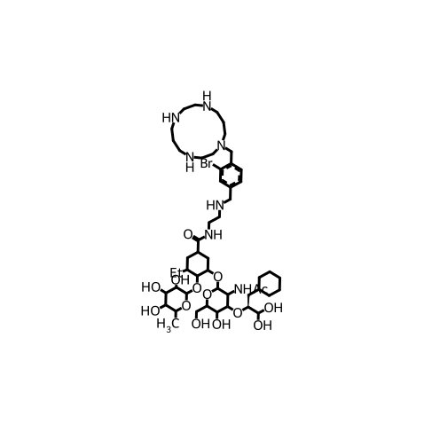 CCC1CC(C(=O)NCCNCc2ccc(CN3CCCNCCNCCCNCC3)c(Br)c2)CC(OC2OC(CO)C(O)C(O[C@@H](CC3CCCCC3)C(O)O)C2NC(C)=O)C1OC1OC(C)C(O)C(O)C1O